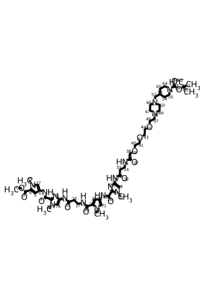 COC(=O)c1cc(NC(=O)c2nc(NC(=O)CCNC(=O)c3cc(NC(=O)c4nc(NC(=O)CCNC(=O)COCCOCCOCCN5CCN(CC6CCN(C(=O)OC(C)(C)C)CC6)CC5)cn4C)cn3C)cn2C)cn1C